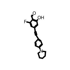 O=Cc1c(O)cc(C#Cc2ccc(N3CCCCC3)cc2)cc1F